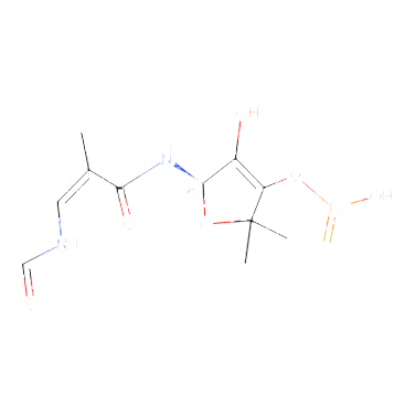 C/C(=C/NC=O)C(=O)N[C@@H]1OC(C)(C)C(O[PH](O)=S)=C1O